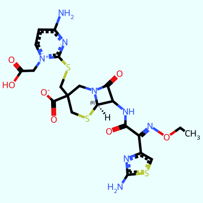 CCON=C(C(=O)NC1C(=O)N2CC(CSc3nc(N)cc[n+]3CC(=O)O)(C(=O)[O-])CS[C@H]12)c1csc(N)n1